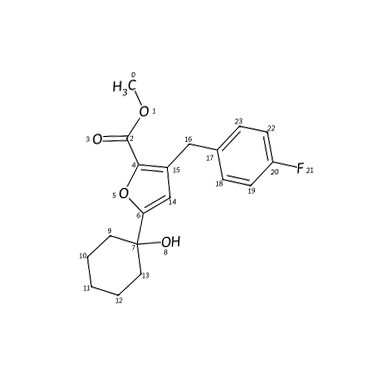 COC(=O)c1oc(C2(O)CCCCC2)cc1Cc1ccc(F)cc1